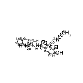 C=C=C=NC=C=C=NC(=O)[C@@H](Cc1ccc(O)c(Cl)c1)OC(=O)N1CCC(N2CCc3ccccc3NC2=O)CC1